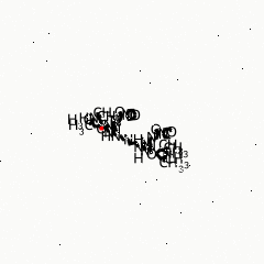 CC1(C)CC(Oc2nc(N=CC(=O)N3CCOCC3)nc(NCCNCCNc3nc(N=CC(=O)N4CCOCC4)nc(OC4CC(C)(C)NC(C)(C)C4)n3)n2)CC(C)(C)N1